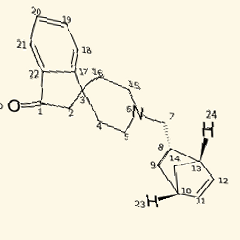 O=C1CC2(CCN(C[C@H]3C[C@H]4C=C[C@@H]3C4)CC2)c2ccccc21